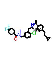 C=C(/N=C(/Cc1cc(CNC(=O)C2CCC(F)(F)CC2)ccc1Cl)NC(C)=O)c1ccc(CCC2CC2)cc1